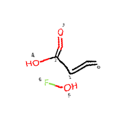 C=CC(=O)O.OF